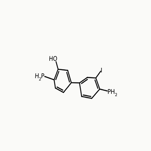 Oc1cc(-c2ccc(P)c(I)c2)ccc1P